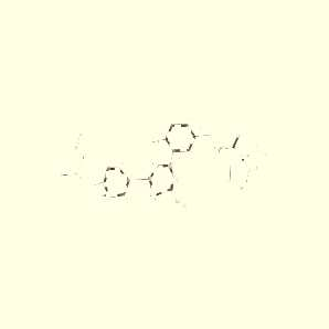 CCC[C@H](C)Oc1ccc(-c2nc(O)nc(-c3cc(CNC(=O)C(CC)(CC)CF)ccc3Cl)n2)cn1